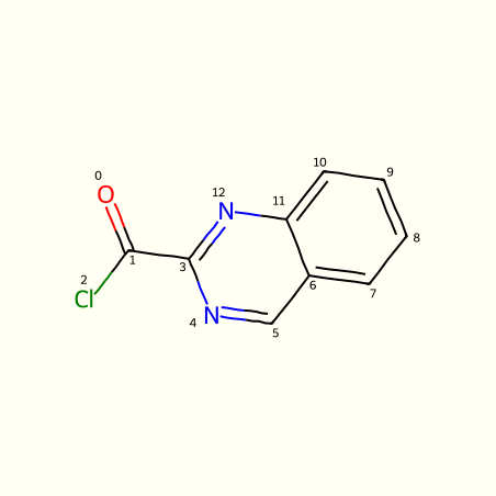 O=C(Cl)c1ncc2ccccc2n1